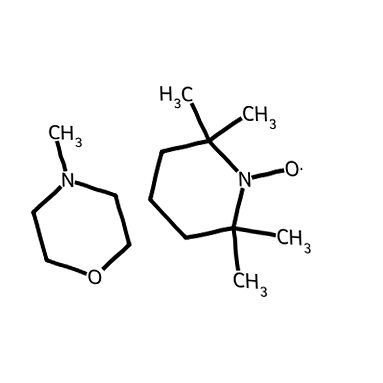 CC1(C)CCCC(C)(C)N1[O].CN1CCOCC1